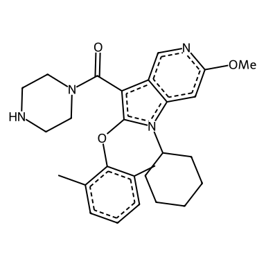 COc1cc2c(cn1)c(C(=O)N1CCNCC1)c(Oc1c(C)cccc1C)n2C1CCCCC1